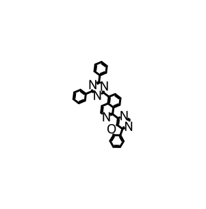 c1ccc(-c2nc(-c3ccccc3)nc(-c3cccc4c(-c5ncnc6c5oc5ccccc56)nccc34)n2)cc1